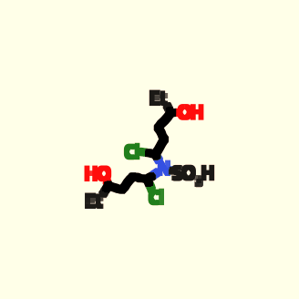 CCC(O)CCC(Cl)N(C(Cl)CCC(O)CC)S(=O)(=O)O